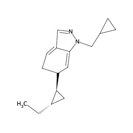 CC[C@H]1C[C@@H]1C1C=c2c(cnn2CC2CC2)=CC1